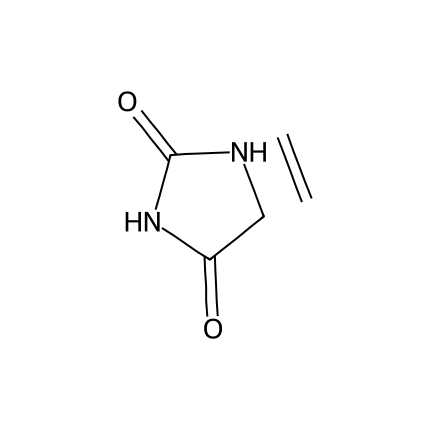 C=C.O=C1CNC(=O)N1